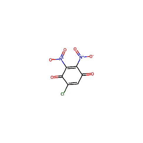 O=C1C=C(Cl)C(=O)C([N+](=O)[O-])=C1[N+](=O)[O-]